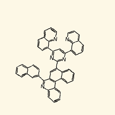 c1ccc2cc(-c3nc4ccccc4c4c3cc(-c3nc(-c5cccc6cccnc56)cc(-c5cccc6cccnc56)n3)c3ccccc34)ccc2c1